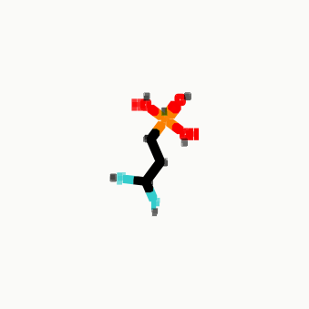 O=P(O)(O)CCC(F)F